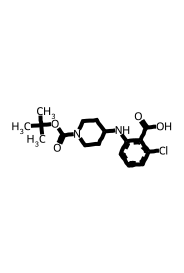 CC(C)(C)OC(=O)N1CCC(Nc2cccc(Cl)c2C(=O)O)CC1